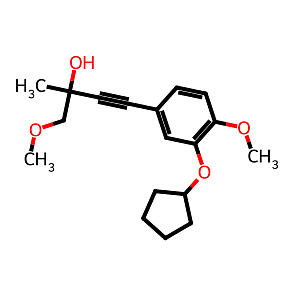 COCC(C)(O)C#Cc1ccc(OC)c(OC2CCCC2)c1